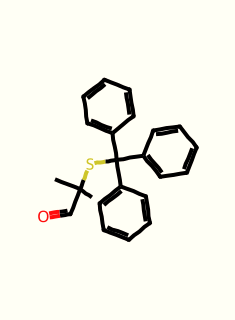 CC(C)(C=O)SC(c1ccccc1)(c1ccccc1)c1ccccc1